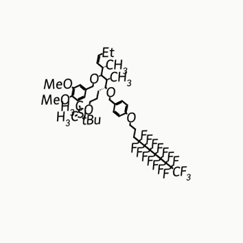 CC/C=C\[C@H](C)[C@H](OCc1ccc(OC)c(OC)c1)[C@@H](C)[C@@H](CCCO[Si](C)(C)C(C)(C)C)OCc1ccc(OCCCC(F)(F)C(F)(F)C(F)(F)C(F)(F)C(F)(F)C(F)(F)C(F)(F)C(F)(F)F)cc1